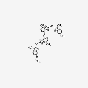 CCOc1ccn2c(C)c(C3CC3c3nc4c(CCc5cnc(C)c6nc(C7CC7c7nc8cc(O)ccn8c7C)nn56)ncc(C)n4n3)nc2c1